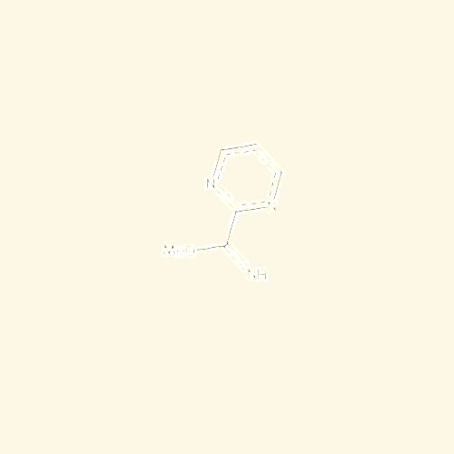 COC(=N)c1ncccn1